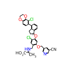 C[C@H](NCc1cc(Cl)c(O[C@H]2CCc3c(-c4ccc5c(c4Cl)OCCO5)cccc32)cc1OCc1cncc(C#N)c1)C(=O)O